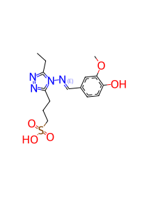 CCc1nnc(CCCS(=O)(=O)O)n1/N=C/c1ccc(O)c(OC)c1